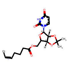 CC/C=C\CCCC(=O)OCC1O[C@@H](n2ccc(=O)[nH]c2=O)[C@@H]2OC(C)(C)O[C@H]12